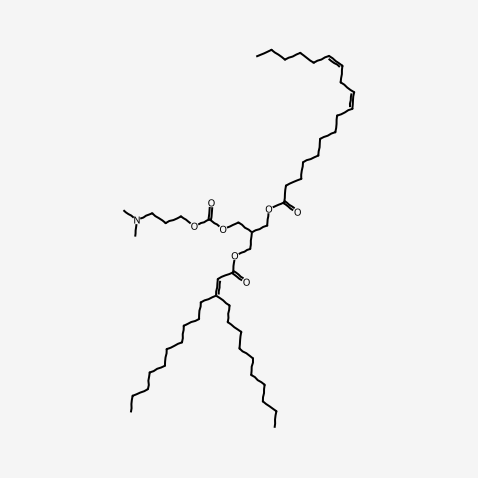 CCCCC/C=C\C/C=C\CCCCCCCC(=O)OCC(COC(=O)C=C(CCCCCCCCCC)CCCCCCCCCC)COC(=O)OCCCN(C)C